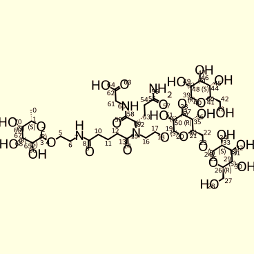 C[C@@H]1O[C@@H](OCCNC(=O)CCCC(=O)N(CCO[C@H]2O[C@H](CO[C@H]3O[C@H](CO)[C@@H](O)[C@H](O)[C@@H]3O)[C@@H](O)[C@H](O[C@H]3O[C@H](CO)[C@@H](O)[C@H](O)[C@@H]3O)[C@@H]2O)[C@@H](CCC(N)=O)C(=O)NCC(=O)O)[C@@H](O)[C@H](O)[C@@H]1O